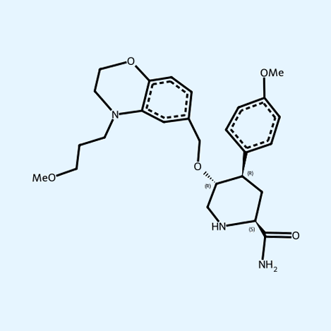 COCCCN1CCOc2ccc(CO[C@H]3CN[C@H](C(N)=O)C[C@@H]3c3ccc(OC)cc3)cc21